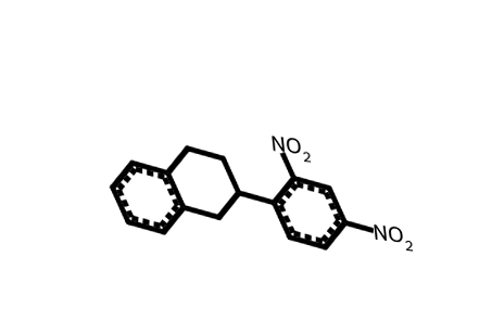 O=[N+]([O-])c1ccc(C2CCc3ccccc3C2)c([N+](=O)[O-])c1